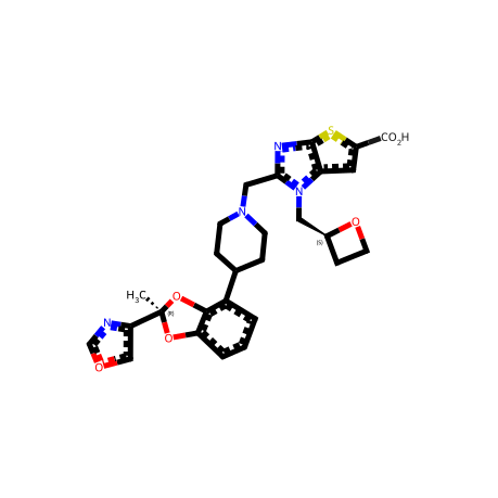 C[C@@]1(c2cocn2)Oc2cccc(C3CCN(Cc4nc5sc(C(=O)O)cc5n4C[C@@H]4CCO4)CC3)c2O1